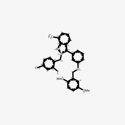 COc1ccc(OC)c(COc2cccc(-c3c4cccc(C(F)(F)F)c4nn3Cc3ccc(Cl)cc3F)c2)c1